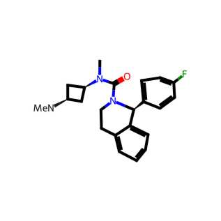 CN[C@H]1C[C@@H](N(C)C(=O)N2CCc3ccccc3[C@@H]2c2ccc(F)cc2)C1